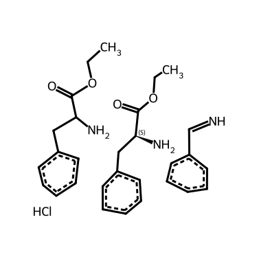 CCOC(=O)C(N)Cc1ccccc1.CCOC(=O)[C@@H](N)Cc1ccccc1.Cl.N=Cc1ccccc1